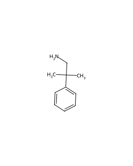 CC(C)(CN)c1ccccc1